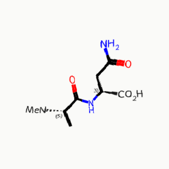 CN[C@@H](C)C(=O)N[C@@H](CC(N)=O)C(=O)O